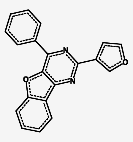 c1ccc(-c2nc(-c3ccoc3)nc3c2oc2ccccc23)cc1